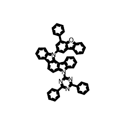 c1ccc(-c2nc(-c3ccccc3)nc(-n3c4ccccc4c4c3ccc3c5ccccc5n(-c5cc(-c6ccccc6)c6oc7ccccc7c6c5)c34)n2)cc1